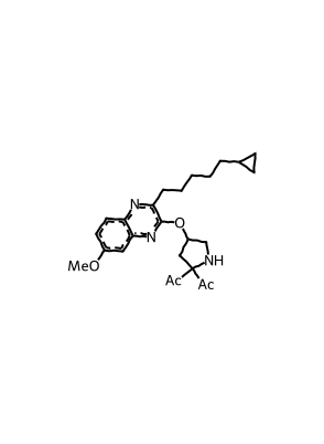 COc1ccc2nc(CCCCCC3CC3)c(OC3CNC(C(C)=O)(C(C)=O)C3)nc2c1